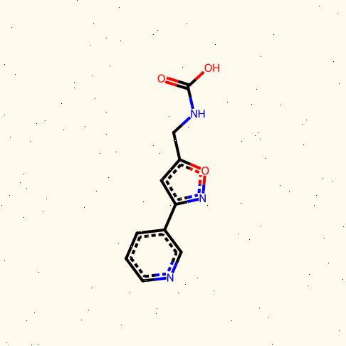 O=C(O)NCc1cc(-c2cccnc2)no1